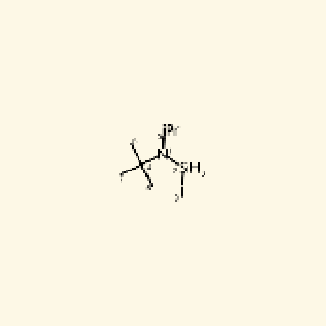 CC(C)N([SiH2]I)C(C)(C)C